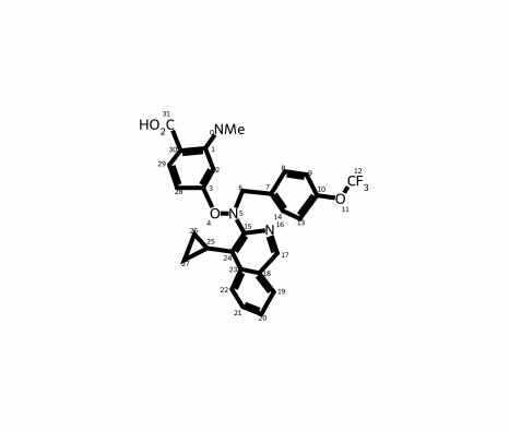 CNc1cc(ON(Cc2ccc(OC(F)(F)F)cc2)c2ncc3ccccc3c2C2CC2)ccc1C(=O)O